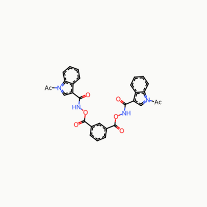 CC(=O)n1cc(C(=O)NOC(=O)c2cccc(C(=O)ONC(=O)c3cn(C(C)=O)c4ccccc34)c2)c2ccccc21